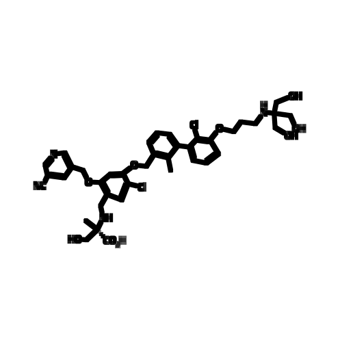 Cc1c(COc2cc(OCc3cncc(C#N)c3)c(CN[C@](C)(CO)C(=O)O)cc2Cl)cccc1-c1cccc(OCCCNC(CO)(CO)CO)c1Cl